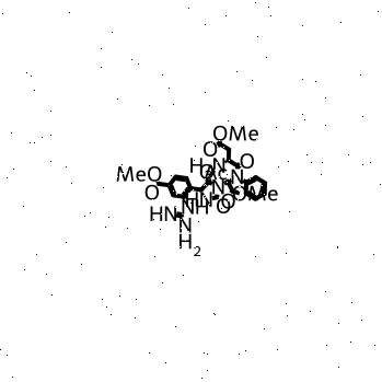 COC(=O)C[C@H](N)C(=O)N(c1ccccc1)[C@@](C(C)=O)(C(=O)OC)N1C(=O)NC(c2ccc(C(=O)OC)cc2NC(=N)N)C1=O